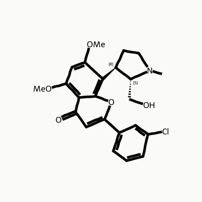 COc1cc(OC)c2c(=O)cc(-c3cccc(Cl)c3)oc2c1[C@H]1CCN(C)[C@@H]1CO